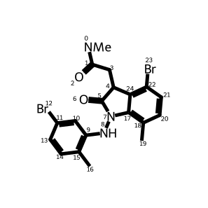 CNC(=O)CC1C(=O)N(Nc2cc(Br)ccc2C)c2c(C)ccc(Br)c21